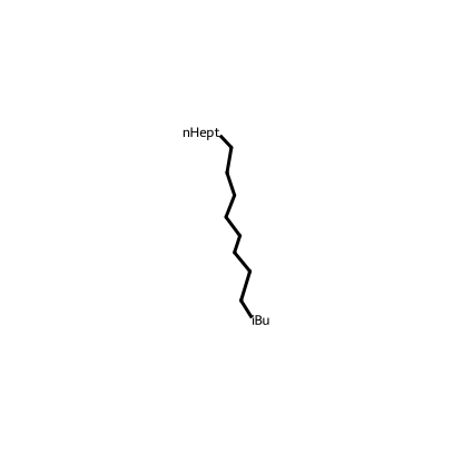 [CH2]C(CC)CCCCCCCCCCCCCCC